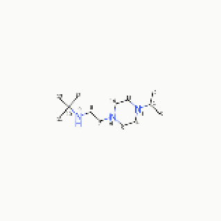 CC(C)N1CCN(CCNC(C)(C)C)CC1